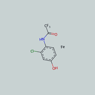 O=C(Nc1ccc(O)cc1Cl)C(F)(F)F.[Fe]